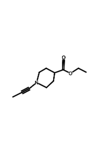 CC#CN1CCC(C(=O)OCC)CC1